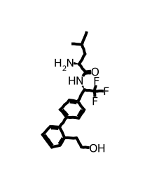 CC(C)C[C@H](N)C(=O)N[C@@H](c1ccc(-c2ccccc2CCO)cc1)C(F)(F)F